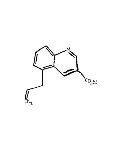 C=CCc1cccc2ncc(C(=O)OCC)cc12